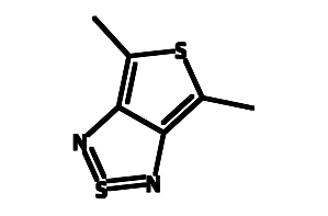 Cc1sc(C)c2c1N=S=N2